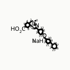 CN(Cc1ccc(C(=O)O)cc1)c1nc(-c2ccc(OCc3ccc(C4CCCCC4)cc3)cc2)cs1.[NaH]